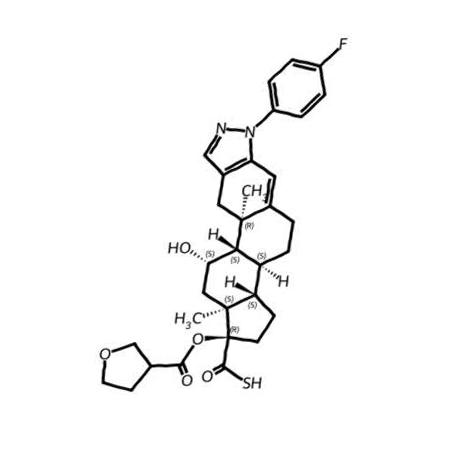 C[C@]12Cc3cnn(-c4ccc(F)cc4)c3C=C1CC[C@@H]1[C@@H]2[C@@H](O)C[C@@]2(C)[C@H]1CC[C@]2(OC(=O)C1CCOC1)C(=O)S